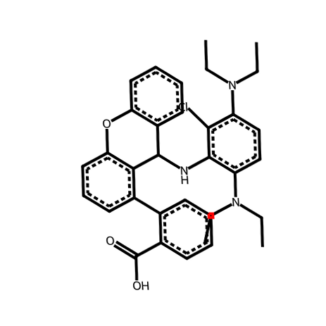 CCN(CC)c1ccc(N(CC)CC)c(NC2c3ccccc3Oc3cccc(-c4ccccc4C(=O)O)c32)c1Cl